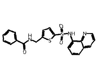 O=C(NCc1ccc(S(=O)(=O)Nc2cccc3cccnc23)s1)c1ccccc1